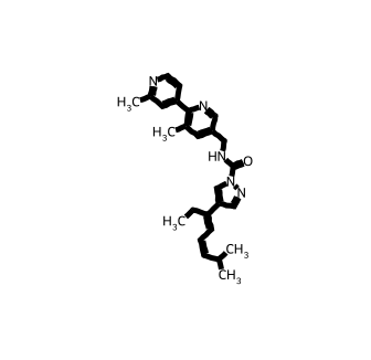 CC/C(=C\C=C/C(C)C)c1cnn(C(=O)NCc2cnc(-c3ccnc(C)c3)c(C)c2)c1